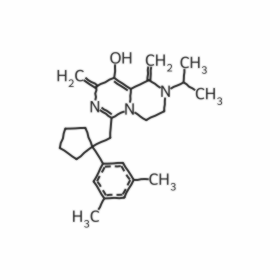 C=C1N=C(CC2(c3cc(C)cc(C)c3)CCCC2)N2CCN(C(C)C)C(=C)C2=C1O